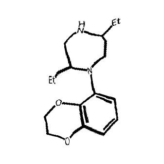 CCC1CN(c2cccc3c2OCCO3)C(CC)CN1